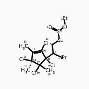 CCOS(=O)SCC(C(C)C)[C@@]1(Cl)C(Cl)=C(C)[C@](C)(Cl)C1(C)Cl